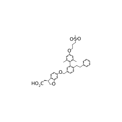 Cc1cc(OCCCS(C)(=O)=O)cc(C)c1-c1cc(COc2ccc3c(c2)OC[C@H]3CC(=O)O)ccc1CCc1ccccc1